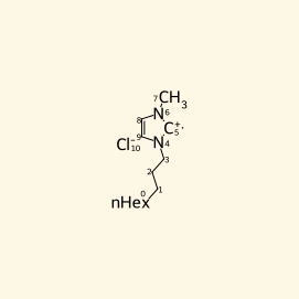 CCCCCCCCCN1[C+]N(C)C=C1.[Cl-]